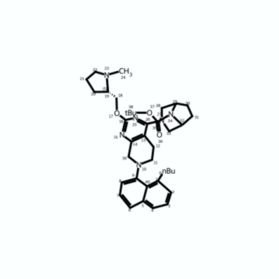 CCCCc1cccc2cccc(N3CCc4c(nc(OC[C@@H]5CCCN5C)nc4N4CC5CCC(C4)N5C(=O)OC(C)(C)C)C3)c12